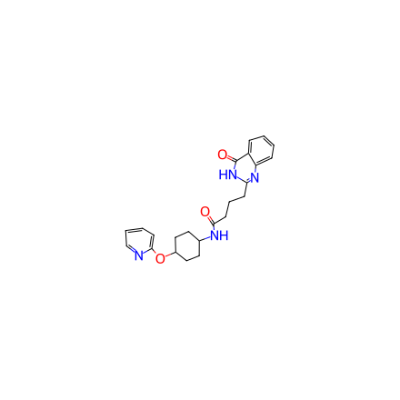 O=C(CCCc1nc2ccccc2c(=O)[nH]1)NC1CCC(Oc2ccccn2)CC1